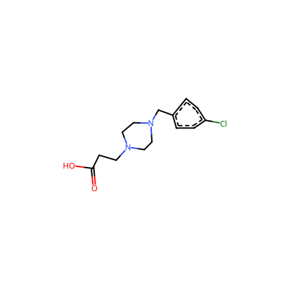 O=C(O)CCN1CCN(Cc2ccc(Cl)cc2)CC1